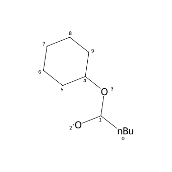 CCCCC([O])OC1CCCCC1